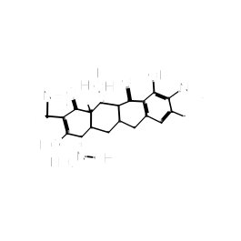 CN(C)[C@@H]1C(O)=C(C(N)=O)C(=O)C2(O)C1CC1Cc3cc(I)c(N)c(O)c3C(=O)C1[C@H]2O.I